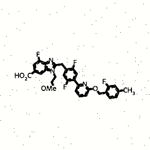 COCCn1c(Cc2cc(F)c(-c3cccc(OCc4ccc(C)cc4F)n3)cc2F)nc2c(F)cc(C(=O)O)cc21